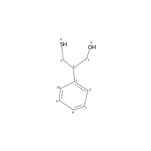 OCC(CS)c1ccccc1